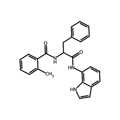 Cc1ccccc1C(=O)NC(Cc1ccccc1)C(=O)Nc1cccc2cc[nH]c12